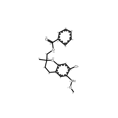 CONc1cc2c(cc1Cl)OC(C)(COC(=O)c1ccccc1)CC2